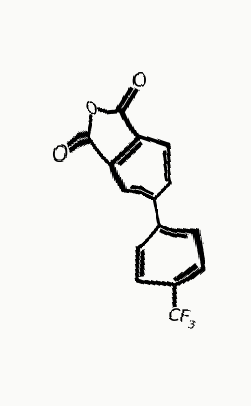 O=C1OC(=O)c2cc(-c3ccc(C(F)(F)F)cc3)ccc21